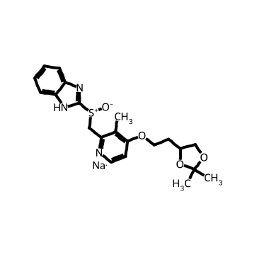 Cc1c(OCCC2COC(C)(C)O2)ccnc1C[S+]([O-])c1nc2ccccc2[nH]1.[Na]